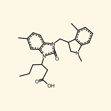 CCCC(CC(=O)O)n1c(=O)n(CC2CN(C)c3cccc(C)c32)c2ccc(C)cc21